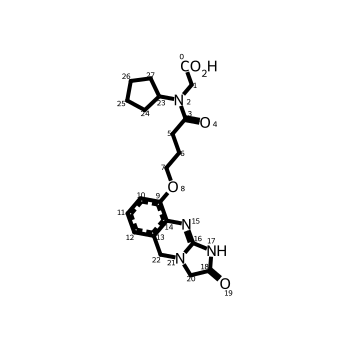 O=C(O)CN(C(=O)CCCOc1cccc2c1N=C1NC(=O)CN1C2)C1CCCC1